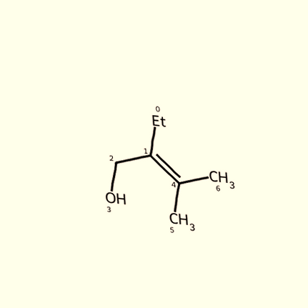 CCC(CO)=C(C)C